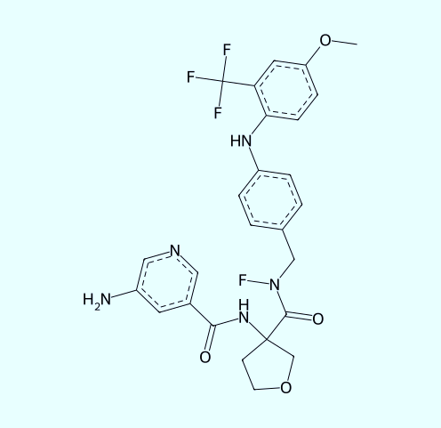 COc1ccc(Nc2ccc(CN(F)C(=O)C3(NC(=O)c4cncc(N)c4)CCOC3)cc2)c(C(F)(F)F)c1